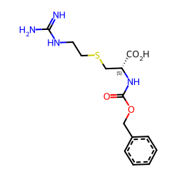 N=C(N)NCCSC[C@@H](NC(=O)OCc1ccccc1)C(=O)O